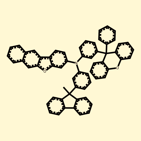 CC1(c2cccc(N(c3cccc(C4(c5ccccc5)c5ccccc5Oc5ccccc54)c3)c3ccc4c(c3)oc3cc5ccccc5cc34)c2)c2ccccc2-c2ccccc21